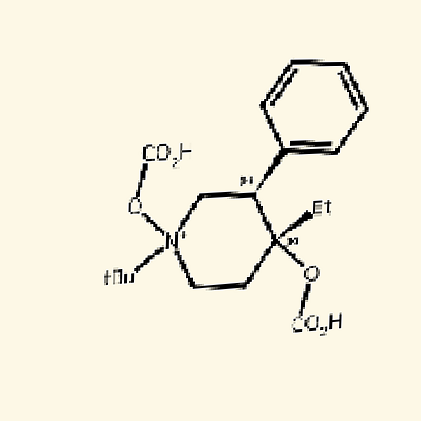 CC[C@@]1(OC(=O)O)CC[N+](OC(=O)O)(C(C)(C)C)C[C@H]1c1ccccc1